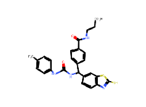 O=C(O)CCNC(=O)c1ccc(C(NC(=O)Nc2ccc(C(F)(F)F)cc2)c2ccc3nc(S)sc3c2)cc1